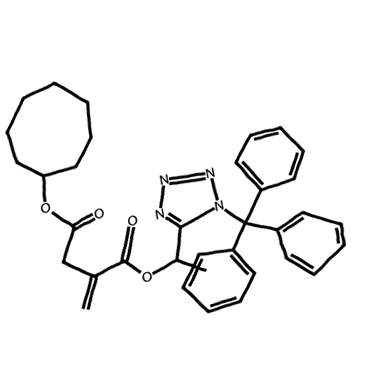 C=C(CC(=O)OC1CCCCCCC1)C(=O)OC(C)c1nnnn1C(c1ccccc1)(c1ccccc1)c1ccccc1